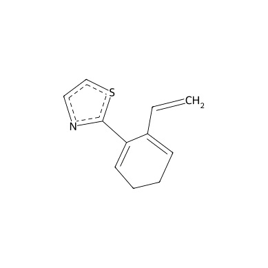 C=CC1=CCCC=C1c1nccs1